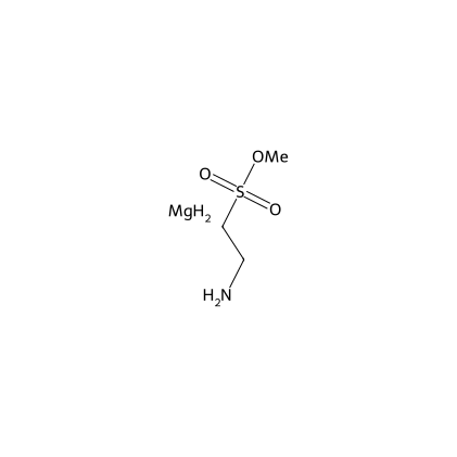 COS(=O)(=O)CCN.[MgH2]